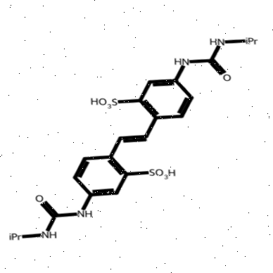 CC(C)NC(=O)Nc1ccc(C=Cc2ccc(NC(=O)NC(C)C)cc2S(=O)(=O)O)c(S(=O)(=O)O)c1